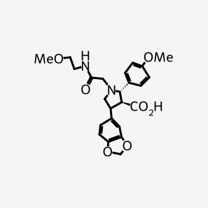 COCCNC(=O)CN1CC(c2ccc3c(c2)OCO3)[C@H](C(=O)O)[C@H]1c1ccc(OC)cc1